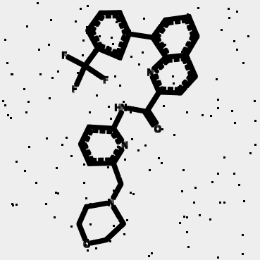 O=C(Nc1cccc(CN2CCOCC2)n1)c1ccc2cccc(-c3cccc(C(F)(F)F)c3)c2n1